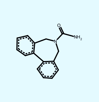 NC(=O)N1Cc2ccccc2-c2ccccc2C1